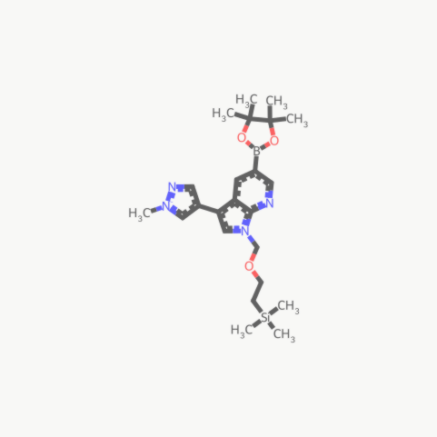 Cn1cc(-c2cn(COCC[Si](C)(C)C)c3ncc(B4OC(C)(C)C(C)(C)O4)cc23)cn1